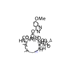 COc1ccc2c(O[C@@H]3C[C@H]4C(=O)N[C@]5(C(=O)NS(=O)(=O)C6CC6)C[C@H]5/C=C\CC[C@@H](C)C[C@@H](C)[C@H](NC(=O)O)C(=O)N4C3)ncnc2c1